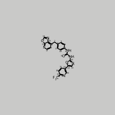 O=C(Nc1ccc(Cc2ccnc3ocnc23)cc1)Nc1ncc(-c2ccc(C(F)(F)F)nc2)o1